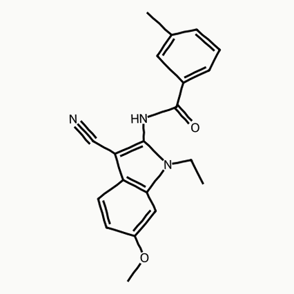 CCn1c(NC(=O)c2cccc(C)c2)c(C#N)c2ccc(OC)cc21